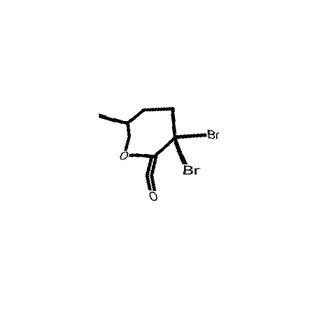 CC1CCC(Br)(Br)C(=O)O1